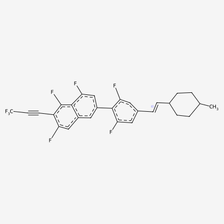 CC1CCC(/C=C/c2cc(F)c(-c3cc(F)c4c(F)c(C#CC(F)(F)F)c(F)cc4c3)c(F)c2)CC1